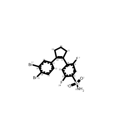 NS(=O)(=O)c1cc(F)c(C2=C(c3ccc(Br)c(Br)c3)CCC2)cc1F